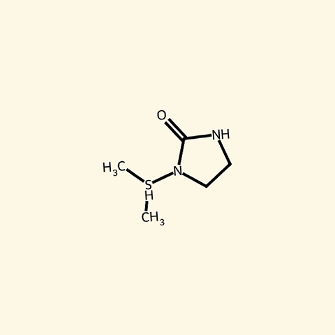 C[SH](C)N1CCNC1=O